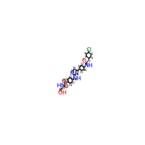 O=C(Cc1ccc(Cl)cc1)Nc1ccc(-c2ccnc(Nc3ccc(S(=O)(=O)NCCO)cc3)n2)cc1